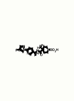 CCCNC1(C(=O)NC(C)c2ccc(-n3cc(F)cn3)nc2)CCN(C(=O)O)CC1